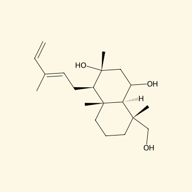 C=C/C(C)=C/C[C@@H]1[C@@]2(C)CCC[C@@](C)(CO)[C@@H]2C(O)C[C@@]1(C)O